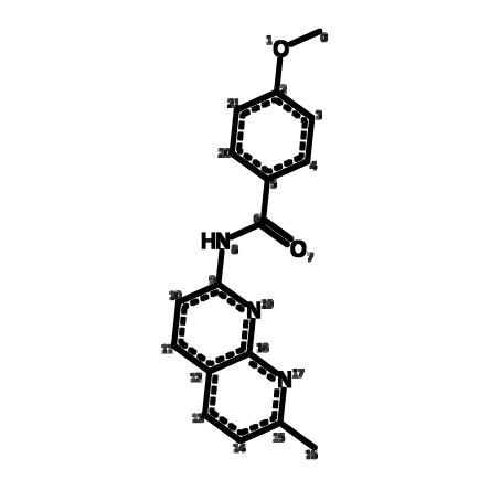 COc1ccc(C(=O)Nc2ccc3ccc(C)nc3n2)cc1